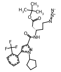 CC(C)(C)OC(=O)C[C@H](CCN=[N+]=[N-])NC(=O)c1cc(-c2ccccc2C(F)(F)F)n(C2CCCC2)n1